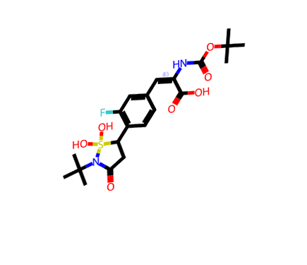 CC(C)(C)OC(=O)N/C(=C/c1ccc(C2CC(=O)N(C(C)(C)C)S2(O)O)c(F)c1)C(=O)O